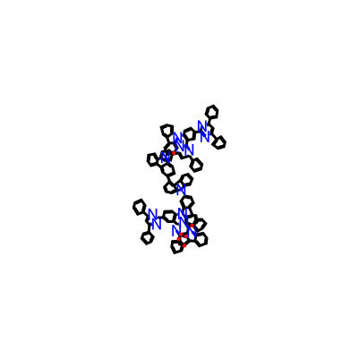 c1ccc(-c2cc(-c3ccccc3)nc(-c3ccc(-n4c5ccccc5c5cc(-n6c7ccccc7c7cc(-c8cccc9c8c8ccccc8n9-c8ccc9c%10ccc(-n%11c%12ccccc%12c%12ccccc%12%11)cc%10n(-c%10ccc(-c%11nc(-c%12ccccc%12)cc(-c%12ccccc%12)n%11)cc%10-c%10nc(-c%11ccccc%11)cc(-c%11ccccc%11)n%10)c9c8)ccc76)ccc54)c(-c4nc(-c5ccccc5)cc(-c5ccccc5)n4)c3)n2)cc1